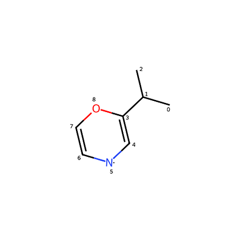 CC(C)C1=C[N]C=CO1